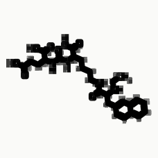 CCNC(Cc1ccc2ccccc2c1)C(=O)NCCCCC(NC(=O)NC(CCC(=O)O)C(=O)O)C(=O)O